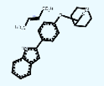 O=C(O)/C=C/C(=O)O.c1ccc2[nH]c(-c3ccc(OC4CN5CCC4CC5)cc3)cc2c1